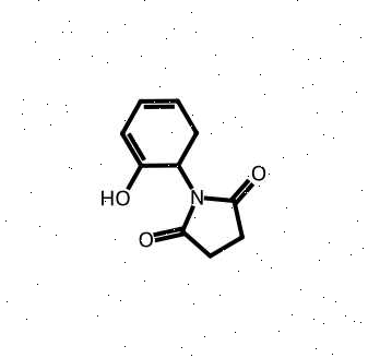 O=C1CCC(=O)N1C1CC=CC=C1O